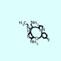 CCN/C1=C(\CN)Cc2ccnn2-c2ccc(F)cc2COc2cc1cnc2N